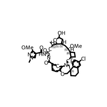 COc1nn(C)cc1C(=O)N[S@@]1(=O)=NC(=O)c2ccc3c(c2)N(C[C@@H]2CC[C@H]2[C@@H](OC)C[C@H]2CC(O)O[C@@H]2[C@H](C)C1)C[C@@]1(CCCc2cc(Cl)ccc21)CO3